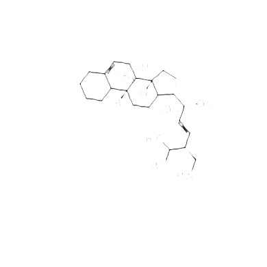 CC[C@H](/C=C/[C@@H](C)[C@H]1CC[C@H]2[C@@H]3CC=C4C[C]CC[C@]4(C)[C@H]3CC[C@]12C)C(C)C